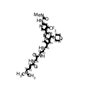 CNC(=O)Nc1cc(C(F)(F)F)c(-c2nc(N3CCOCC3)c3cc(CNCCNC(=O)CNC(=O)/C=C/CN(C)C)cn3n2)cn1